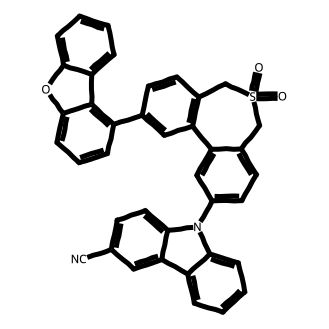 N#Cc1ccc2c(c1)c1ccccc1n2-c1ccc2c(c1)-c1cc(-c3cccc4oc5ccccc5c34)ccc1CS(=O)(=O)C2